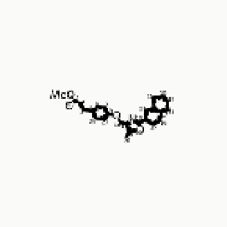 COC(=O)C=Cc1ccc(OCc2nc(-c3ccc4ccccc4c3)oc2C)cc1